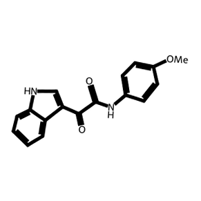 COc1ccc(NC(=O)C(=O)c2c[nH]c3ccccc23)cc1